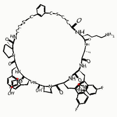 C[C@H]1NC(=O)[C@H](CCCCN)NC(=O)CCSCc2cccc(c2)CSCCNC(=O)[C@]2(C)CCCN2C(=O)[C@H](Cc2ccc(O)cc2)NC(=O)[C@H](Cc2cnc[nH]2)NC(=O)[C@@H]2CCN2C(=O)[C@H](Cc2c[nH]c3ccc(F)cc23)NC(=O)[C@H](Cc2c[nH]c3ccc(F)cc23)NC1=O